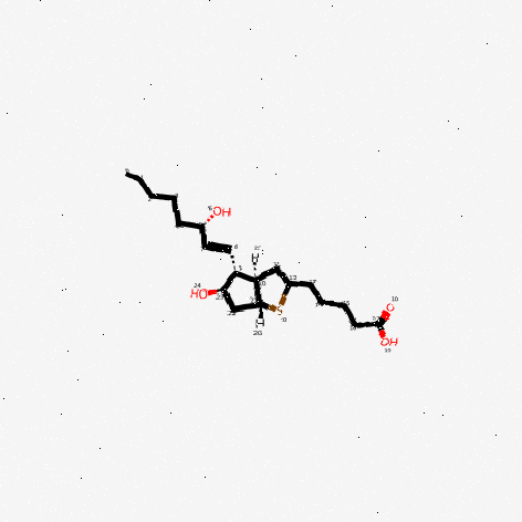 CCCCC[C@H](O)/C=C/[C@@H]1[C@H]2CC(CCCCC(=O)O)S[C@@H]2C[C@H]1O